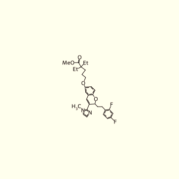 CCC(CC)(CCCOc1ccc2c(c1)C=C(c1nccn1C)C(CCc1ccc(F)cc1F)O2)C(=O)OC